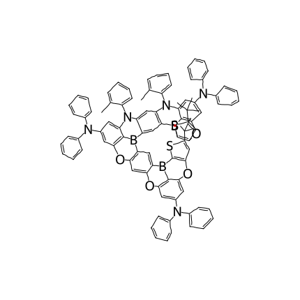 Cc1ccccc1N1c2cc3c(cc2B2c4cc5c(cc4Oc4cc(N(c6ccccc6)c6ccccc6)cc1c42)Oc1cc(N(c2ccccc2)c2ccccc2)cc2c1B5c1sc(C(C)(C)C)cc1O2)B1c2sc(C(C)(C)C)cc2Oc2cc(N(c4ccccc4)c4ccccc4)cc(c21)N3c1ccccc1C